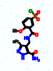 CCCc1n[nH]c(C(N)=O)c1CNC(=O)c1cc(S(=O)(=O)Cl)ccc1OCC